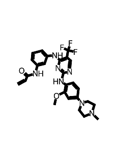 C=CC(=O)Nc1cccc(Nc2nc(Nc3ccc(N4CCN(C)CC4)cc3OC)ncc2C(F)(F)F)c1